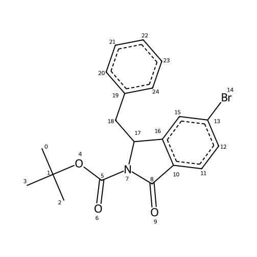 CC(C)(C)OC(=O)N1C(=O)c2ccc(Br)cc2C1Cc1ccccc1